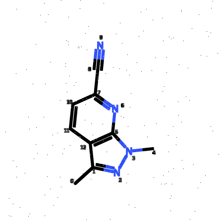 Cc1nn(C)c2nc(C#N)ccc12